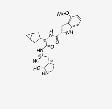 COc1cccc2[nH]c(C(=O)N[C@H](C(=O)N[C@H](C#N)C[C@@H]3CCNC3O)C3CC4CC4C3)cc12